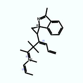 C=C/C=C(/C1C[C@]12N=C(C)c1ccccc12)C(C)(C)/C(C)=[N+](C)/C=C\C